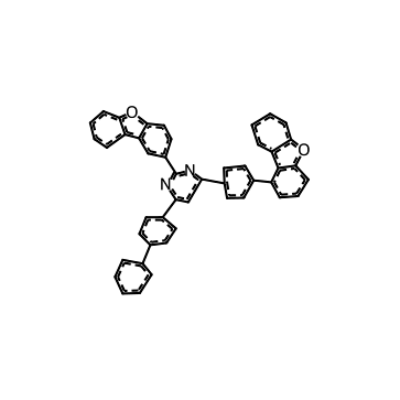 c1ccc(-c2ccc(-c3cc(-c4ccc(-c5cccc6oc7ccccc7c56)cc4)nc(-c4ccc5oc6ccccc6c5c4)n3)cc2)cc1